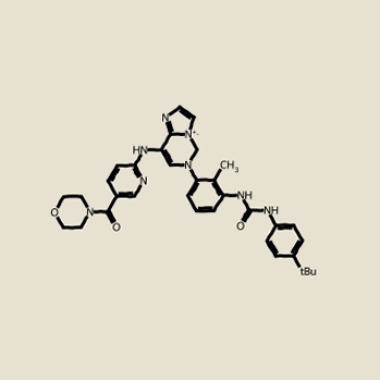 Cc1c(NC(=O)Nc2ccc(C(C)(C)C)cc2)cccc1N1C=C(Nc2ccc(C(=O)N3CCOCC3)cn2)C2=NC=C[N+]2C1